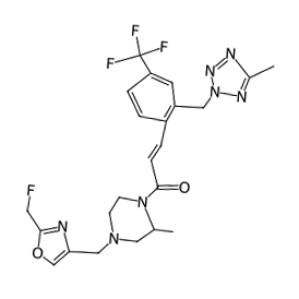 Cc1nnn(Cc2cc(C(F)(F)F)ccc2/C=C/C(=O)N2CCN(Cc3coc(CF)n3)CC2C)n1